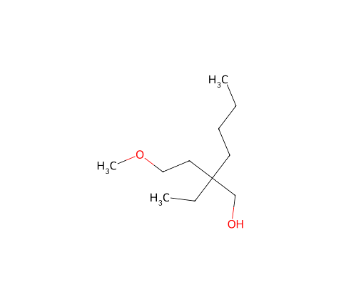 CCCCC(CC)(CO)CCOC